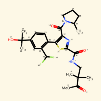 COC(=O)C(C)(C)CNC(=O)c1nc(C(=O)N2CCCC2C)c(-c2ccc(C(O)(C(F)(F)F)C(F)(F)F)cc2C(F)F)s1